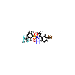 O=S(=O)(NC1(c2cccc(Br)c2)CC1)c1cccc(C(F)(F)F)c1